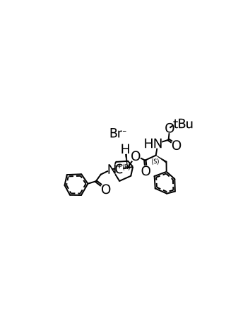 CC(C)(C)OC(=O)N[C@@H](Cc1ccccc1)C(=O)O[C@H]1C[N+]2(CC(=O)c3ccccc3)CCC1CC2.[Br-]